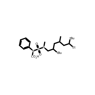 CCC(CC(C)CC(CN(C)S(=O)(=O)N(C(=O)O)c1ccccc1)C(C)(C)C)C(C)(C)C